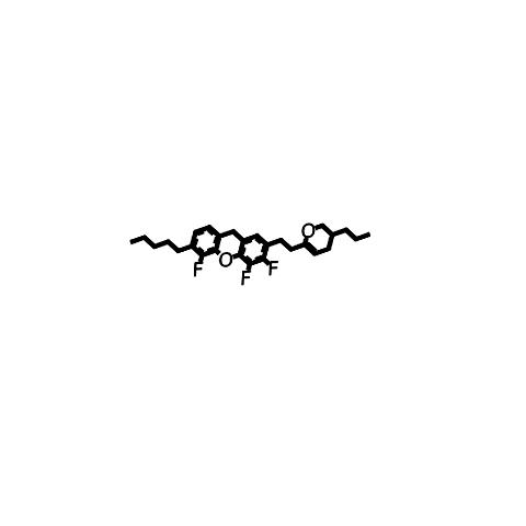 CCCCCc1ccc2c(c1F)Oc1c(cc(CCC3=CCC(CCC)CO3)c(F)c1F)C2